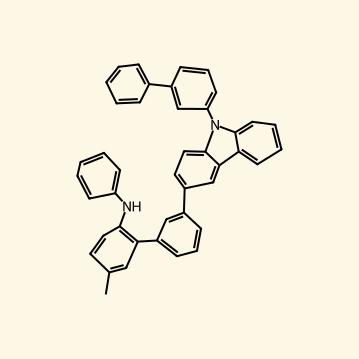 Cc1ccc(Nc2ccccc2)c(-c2cccc(-c3ccc4c(c3)c3ccccc3n4-c3cccc(-c4ccccc4)c3)c2)c1